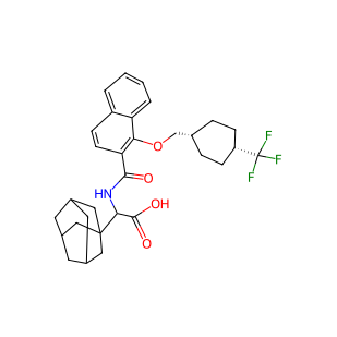 O=C(NC(C(=O)O)C12CC3CC(CC(C3)C1)C2)c1ccc2ccccc2c1OC[C@H]1CC[C@@H](C(F)(F)F)CC1